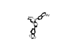 NCCCn1c(-c2ccc3c(c2)OCO3)cs/c1=N\c1ccc2[nH]ccc2c1